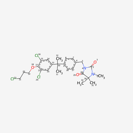 CN1C(=O)N(Cc2ccc(C(C)(C)c3cc(Cl)c(OCCCCl)c(Cl)c3)cc2)C(=O)C1(C)C